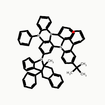 CC(C)(C)c1ccc(N2c3ccccc3B3c4ccccc4N(c4ccccc4)c4cc(N5c6ccccc6C6(c7ccccc7)Cc7ccccc7CC56C)cc2c43)c(-c2ccccc2)c1